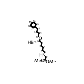 Br.COC(CNCCCCCCOCCCCc1ccccc1)OC